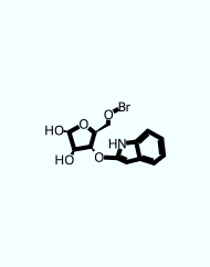 O[C@@H]1[C@@H](Oc2cc3ccccc3[nH]2)[C@H](COBr)O[C@H]1O